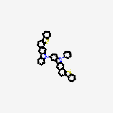 c1ccc(-n2c3ccc(-n4c5ccccc5c5cc6ccc7c8ccccc8sc7c6cc54)cc3c3cc4ccc5c6ccccc6sc5c4cc32)cc1